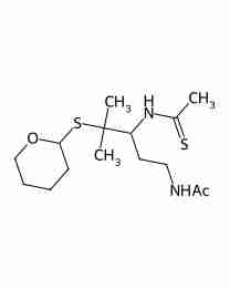 CC(=O)NCCC(NC(C)=S)C(C)(C)SC1CCCCO1